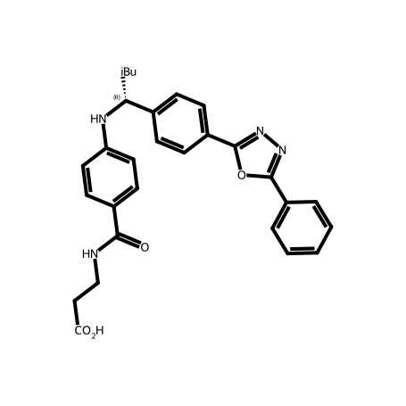 CCC(C)[C@@H](Nc1ccc(C(=O)NCCC(=O)O)cc1)c1ccc(-c2nnc(-c3ccccc3)o2)cc1